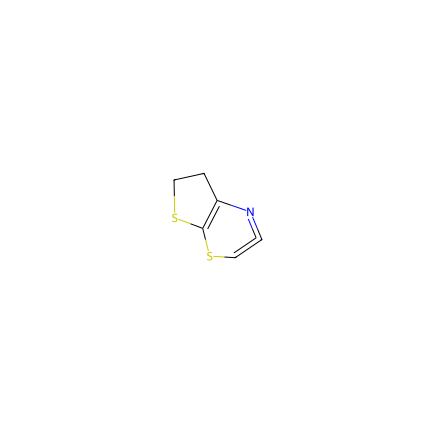 C1=CSC2=C(CCS2)N=1